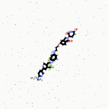 CN(C)c1ccc(-c2cc(C(F)(F)F)c(-c3nc4ccc(NCCCOc5ccc6c(c5)CN(C5CCC(=O)NC5=O)C6=O)cc4s3)cn2)cn1